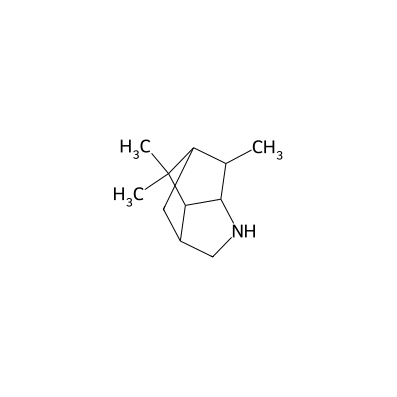 CC1C2NCC3CC1C(C)(C)C32